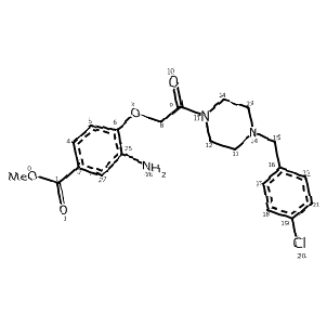 COC(=O)c1ccc(OCC(=O)N2CCN(Cc3ccc(Cl)cc3)CC2)c(N)c1